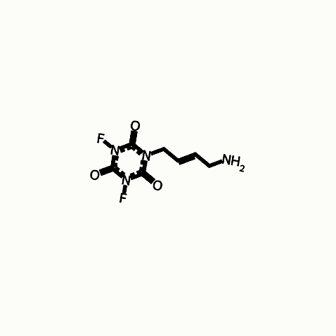 NCC=CCn1c(=O)n(F)c(=O)n(F)c1=O